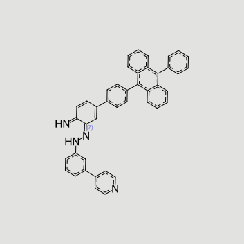 N=C1C=CC(c2ccc(-c3c4ccccc4c(-c4ccccc4)c4ccccc34)cc2)=C/C1=N/Nc1cccc(-c2ccncc2)c1